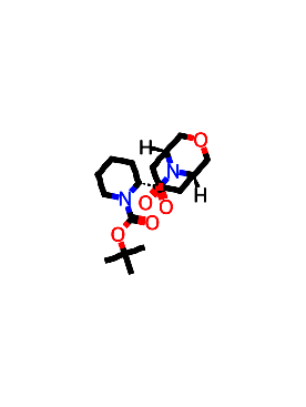 CC(C)(C)OC(=O)N1CCCC[C@@H]1C(=O)N1[C@@H]2COC[C@H]1CC(=O)C2